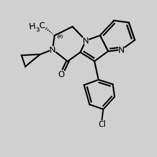 C[C@@H]1Cn2c(c(-c3ccc(Cl)cc3)c3ncccc32)C(=O)N1C1CC1